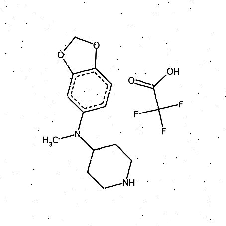 CN(c1ccc2c(c1)OCO2)C1CCNCC1.O=C(O)C(F)(F)F